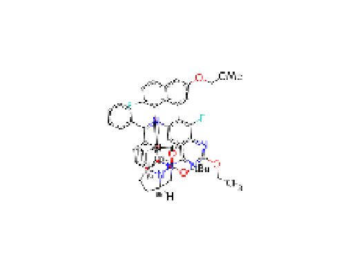 COCOc1cc(-c2c(N=C(c3ccccc3)c3ccccc3)cc3c(N4C[C@H]5CC[C@@H](C4)N5C(=O)OC(C)(C)C)nc(OCC(F)(F)F)nc3c2F)c2c(C#C[Si](C(C)C)(C(C)C)C(C)C)c(F)ccc2c1